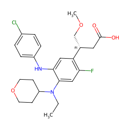 CCN(c1cc(F)c([C@H](COC)CC(=O)O)cc1Nc1ccc(Cl)cc1)C1CCOCC1